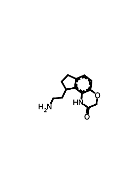 NCCC1CCc2ccc3c(c21)NC(=O)CO3